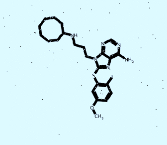 COc1ccc(I)c(Sc2nc3c(N)ncnc3n2CCCNC2CCCCCCC2)c1